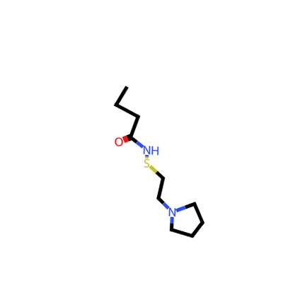 CCCC(=O)NSCCN1CCCC1